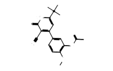 COc1ccc(-c2cc(C(C)(C)C)[nH]c(=O)c2C#N)cc1OC(C)=O